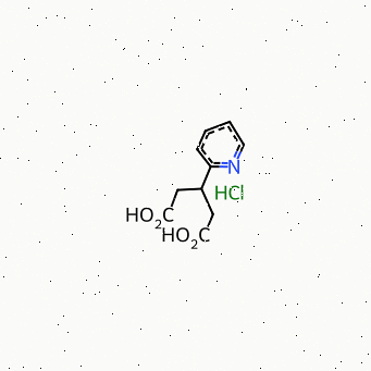 Cl.O=C(O)CC(CC(=O)O)c1ccccn1